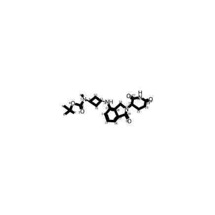 CN(C(=O)OC(C)(C)C)[C@H]1C[C@H](Nc2cccc3c2CN(C2CCC(=O)NC2=O)C3=O)C1